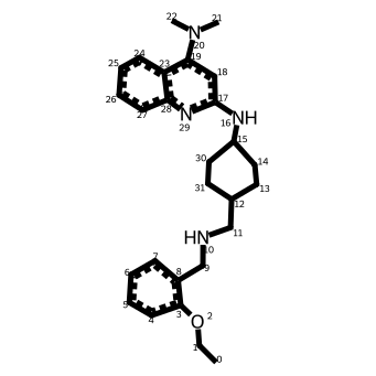 CCOc1ccccc1CNCC1CCC(Nc2cc(N(C)C)c3ccccc3n2)CC1